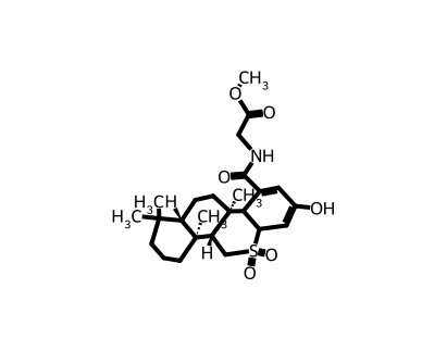 COC(=O)CNC(=O)C1=CC(O)=CC2C1[C@]1(C)CC[C@H]3C(C)(C)CCC[C@]3(C)[C@H]1CS2(=O)=O